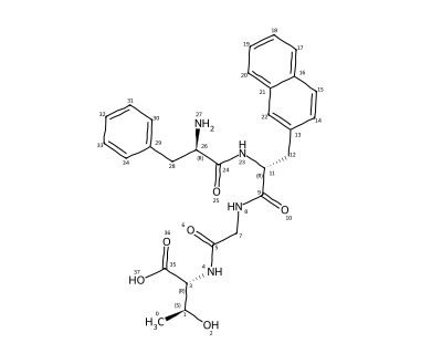 C[C@H](O)[C@@H](NC(=O)CNC(=O)[C@@H](Cc1ccc2ccccc2c1)NC(=O)[C@H](N)Cc1ccccc1)C(=O)O